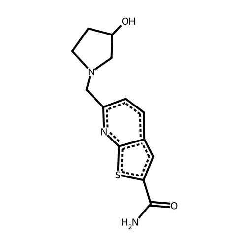 NC(=O)c1cc2ccc(CN3CCC(O)C3)nc2s1